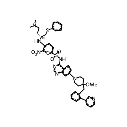 COC1(Cc2ccccc2-c2cccnc2)CCN(c2ccc3c(NS(=O)(=O)c4ccc(N[C@H](CCN(C)C)CSc5ccccc5)c([N+](=O)[O-])c4)ncnc3c2)CC1